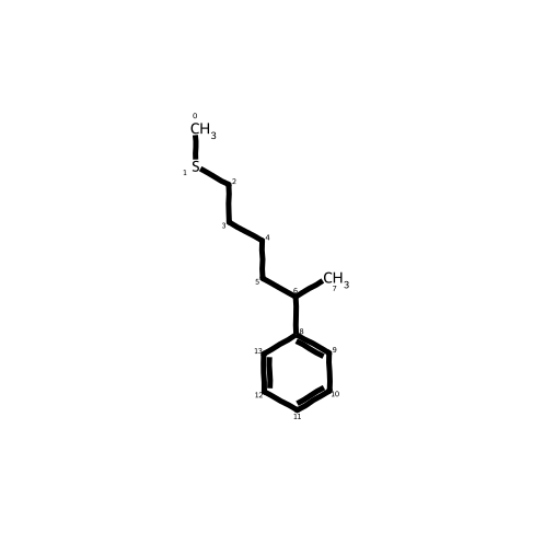 CSCCCCC(C)c1ccccc1